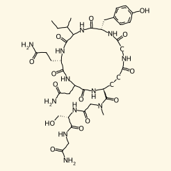 CCC(C)C1NC(=O)[C@H](Cc2ccc(O)cc2)NC(=O)CNC(=O)CC[C@@H](C(=O)N(C)CC(=O)N[C@@H](CO)C(=O)NCC(N)=O)NC(=O)C(CC(N)=O)NC(=O)[C@H](CCC(N)=O)NC1=O